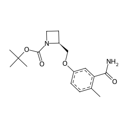 Cc1ccc(OC[C@@H]2CCN2C(=O)OC(C)(C)C)cc1C(N)=O